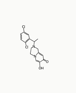 CC(c1cc(Cl)ccc1Cl)N1CCn2cc(O)c(=O)cc2C1